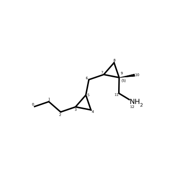 CCCC1CC1CC1C[C@]1(C)CN